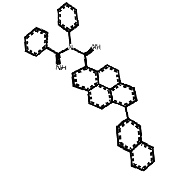 N=C(c1ccccc1)N(C(=N)c1ccc2ccc3c(-c4ccc5ccccc5c4)ccc4ccc1c2c43)c1ccccc1